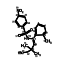 Cc1ccccc1S(=NC(C)(C)CC(C)(C)C)NS(=O)(=O)c1ccc([N+](=O)[O-])cc1